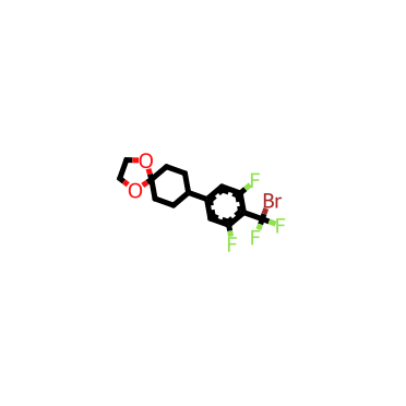 Fc1cc(C2CCC3(CC2)OCCO3)cc(F)c1C(F)(F)Br